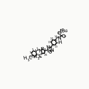 Cc1ccc(Cn2nc(-c3nc(-c4ccc(CNC(=O)OC(C)(C)C)cc4)no3)cc2C)cc1